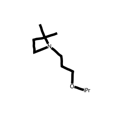 CC(C)OCCCN1CCC1(C)C